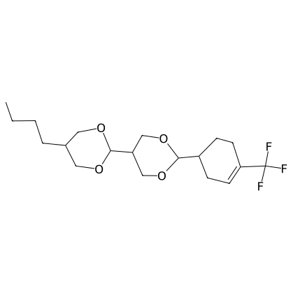 CCCCC1COC(C2COC(C3CC=C(C(F)(F)F)CC3)OC2)OC1